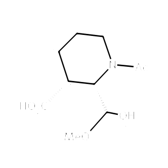 COC(O)[C@@H]1[C@H](C(=O)O)CCCN1C(C)=O